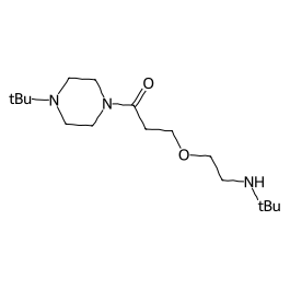 CC(C)(C)NCCOCCC(=O)N1CCN(C(C)(C)C)CC1